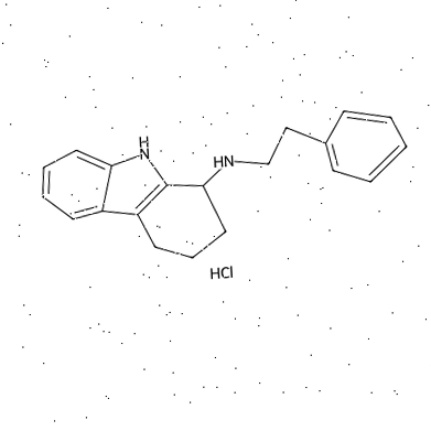 Cl.c1ccc(CCNC2CCCc3c2[nH]c2ccccc32)cc1